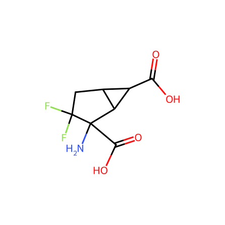 NC1(C(=O)O)C2C(CC1(F)F)C2C(=O)O